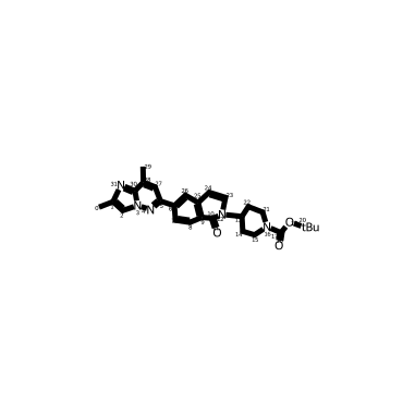 Cc1cn2nc(-c3ccc4c(=O)n(C5CCN(C(=O)OC(C)(C)C)CC5)ccc4c3)cc(C)c2n1